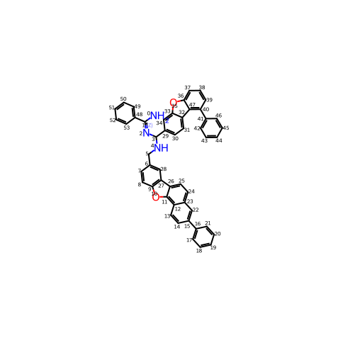 N/C(=N\C(NCc1ccc2oc3c4ccc(-c5ccccc5)cc4ccc3c2c1)c1ccc2c(c1)oc1cccc(-c3ccccc3)c12)c1ccccc1